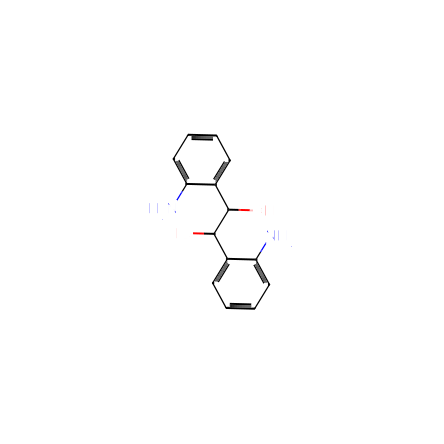 Nc1ccccc1C(O)C(O)c1ccccc1N